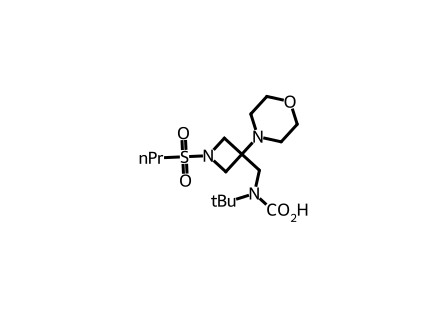 CCCS(=O)(=O)N1CC(CN(C(=O)O)C(C)(C)C)(N2CCOCC2)C1